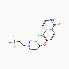 Cc1c[nH]c(=O)c2ccc(OC3CCN(CCC(C)(F)F)CC3)c(F)c12